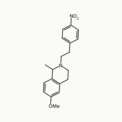 COc1ccc2c(c1)CCN(CCc1ccc([N+](=O)[O-])cc1)C2C